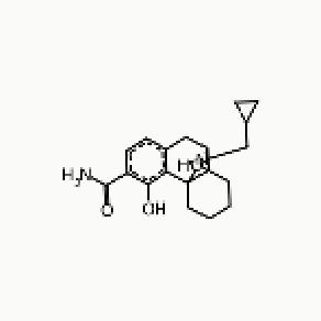 NC(=O)c1ccc2c(c1O)C13CCCCC1(O)C(C2)N(CC1CC1)CC3